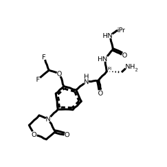 CC(C)NC(=O)N[C@H](CN)C(=O)Nc1ccc(N2CCOCC2=O)cc1OC(F)F